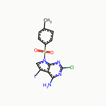 Cc1ccc(S(=O)(=O)n2cc(I)c3c(N)nc(Cl)nc32)cc1